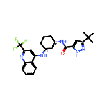 CC(C)(C)c1cc(C(=O)N[C@@H]2CCC[C@H](Nc3cc(C(F)(F)F)nc4ccccc34)C2)[nH]n1